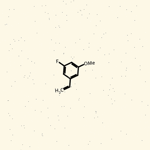 C=[C]c1cc(F)cc(OC)c1